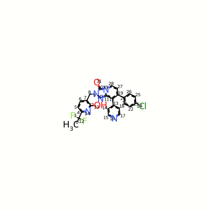 CC(F)(F)c1ccc(Cn2nc3c(-c4ccncc4)c(-c4ccc(Cl)cc4)ccn3c2=O)c(O)n1